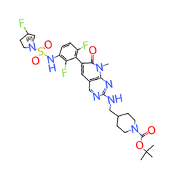 Cn1c(=O)c(-c2c(F)ccc(NS(=O)(=O)N3CC[C@@H](F)C3)c2F)cc2cnc(NCC3CCN(C(=O)OC(C)(C)C)CC3)nc21